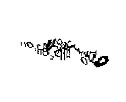 O=C(O)Cn1cc(C[C@H](NC(=O)NC(CCCCNC(=O)OCc2ccccc2)C(=O)O)C(=O)O)nn1